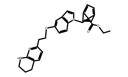 CCOC(=O)C1(Cn2ccc3cc(OCCc4ccc5c(n4)NCCC5)ccc32)C2=CC=C1C=C2